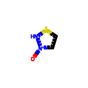 O=[n+]1ccs[nH]1